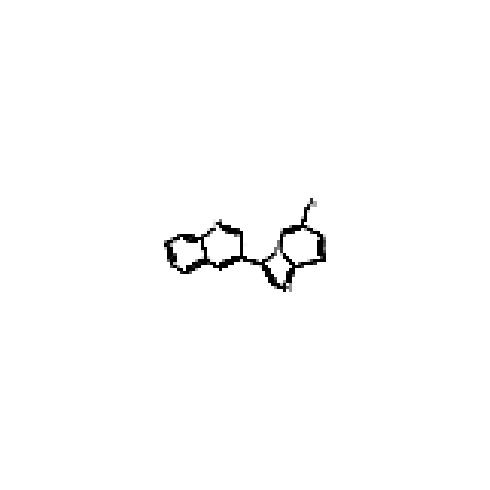 Brc1ccc2ncc(-c3cnc4ccccc4c3)n2c1